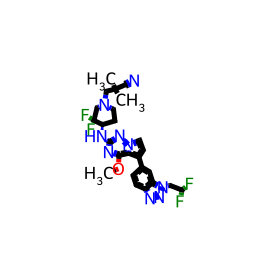 COc1nc(N[C@@H]2CCN(CC(C)(C)C#N)CC2(F)F)nn2ccc(-c3ccc4nnn(CC(F)F)c4c3)c12